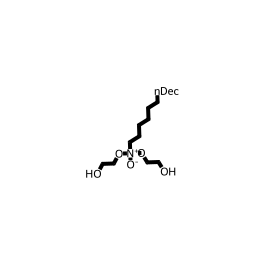 CCCCCCCCCCCCCCCC[N+]([O-])(OCCO)OCCO